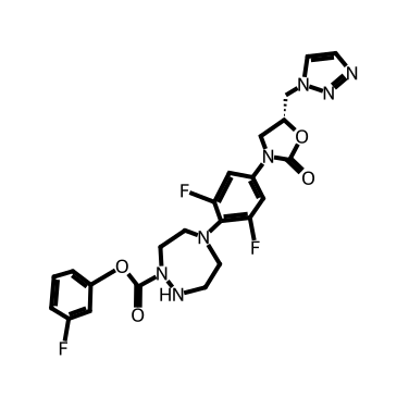 O=C(Oc1cccc(F)c1)N1CCN(c2c(F)cc(N3C[C@H](Cn4ccnn4)OC3=O)cc2F)CCN1